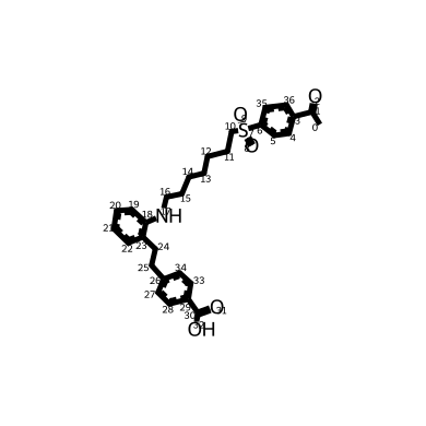 CC(=O)c1ccc(S(=O)(=O)CCCCCCCNc2ccccc2CCc2ccc(C(=O)O)cc2)cc1